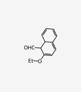 CCOC1=CC=C2C=CC=CC2C1C=O